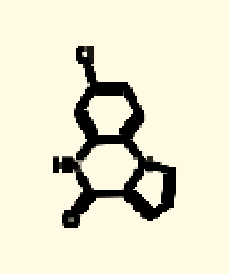 O=c1[nH]c2cc(Cl)ccc2n2cccc12